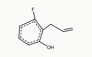 C=CCc1c(O)cccc1F